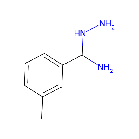 Cc1cccc(C(N)NN)c1